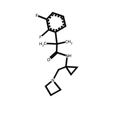 CC(C)(C(=O)NC1(CN2CCC2)CC1)c1cccc(F)c1F